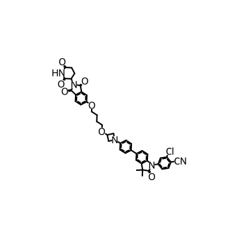 CC1(C)C(=O)N(c2ccc(C#N)c(Cl)c2)c2ccc(-c3ccc(N4CC(OCCCCOc5ccc6c(c5)C(=O)N(C5CCC(=O)NC5=O)C6=O)C4)cc3)cc21